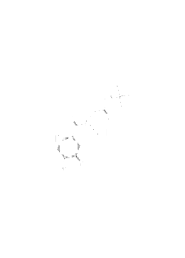 CC(C)(C)OC(=O)CN(N)C(=O)c1cc(=O)c(O)c[nH]1